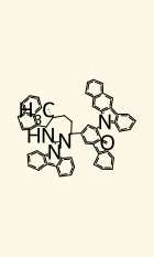 C[C@@H]1CC/C(c2cc(-n3c4ccccc4c4cc5ccccc5cc43)c3oc4ccccc4c3c2)=N\C(n2c3ccccc3c3ccccc32)NC1c1cccc2ccccc12